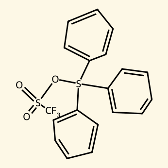 O=S(=O)(OS(c1ccccc1)(c1ccccc1)c1ccccc1)C(F)(F)F